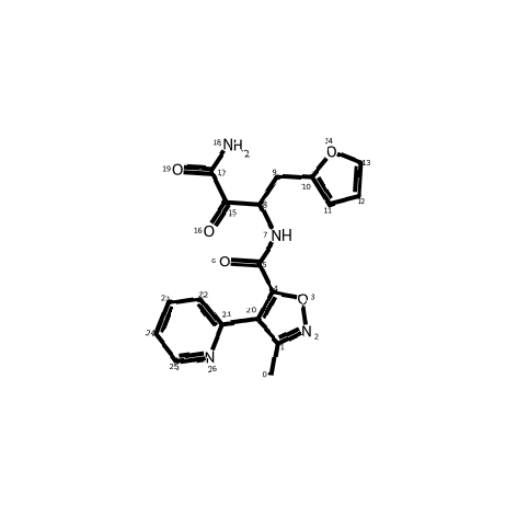 Cc1noc(C(=O)NC(Cc2ccco2)C(=O)C(N)=O)c1-c1ccccn1